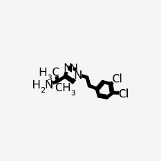 CC(C)(N)c1cn(CCc2ccc(Cl)c(Cl)c2)nn1